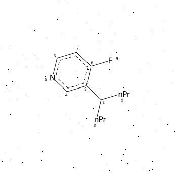 CCCC(CCC)c1cnccc1F